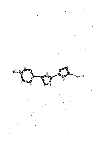 O=C(O)c1ccc(-c2ncc(-c3ccc(O)cc3)s2)s1